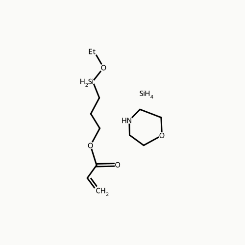 C1COCCN1.C=CC(=O)OCCC[SiH2]OCC.[SiH4]